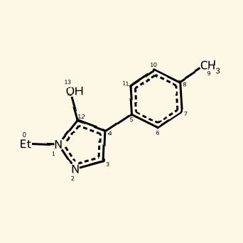 CCn1ncc(-c2ccc(C)cc2)c1O